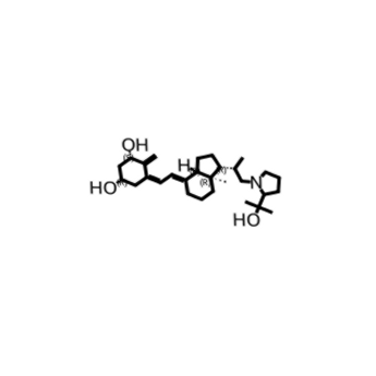 C=C1C(=CC=C2CCC[C@]3(C)[C@@H](C(C)CN4CCCC4C(C)(C)O)CC[C@@H]23)C[C@@H](O)C[C@@H]1O